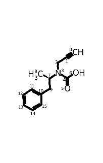 C#CCN(C(=O)O)[C@H](C)Cc1ccccc1